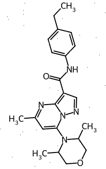 CCc1ccc(NC(=O)c2cnn3c(N4C(C)COCC4C)cc(C)nc23)cc1